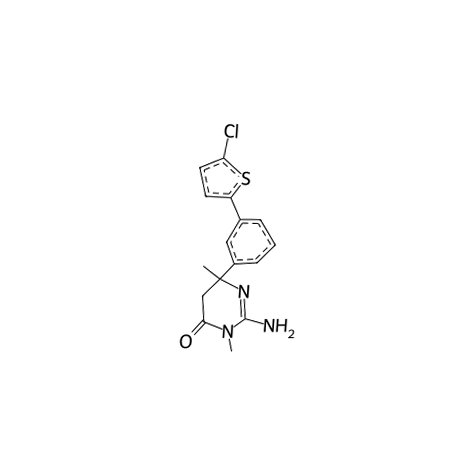 CN1C(=O)CC(C)(c2cccc(-c3ccc(Cl)s3)c2)N=C1N